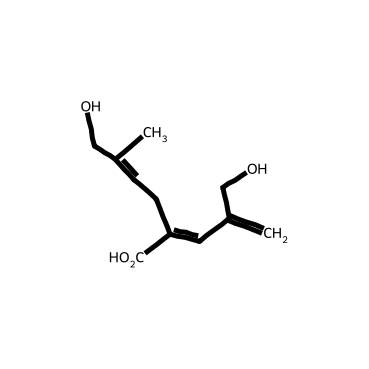 C=C(/C=C(\C/C=C(\C)CO)C(=O)O)CO